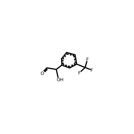 O=[C]C(O)c1cccc(C(F)(F)F)c1